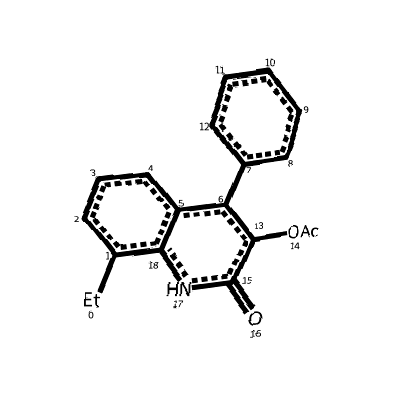 CCc1cccc2c(-c3ccccc3)c(OC(C)=O)c(=O)[nH]c12